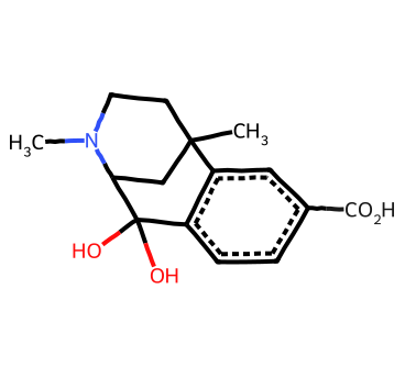 CN1CCC2(C)CC1C(O)(O)c1ccc(C(=O)O)cc12